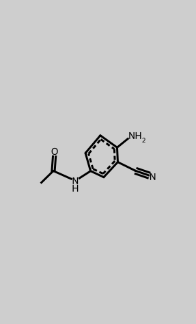 CC(=O)Nc1ccc(N)c(C#N)c1